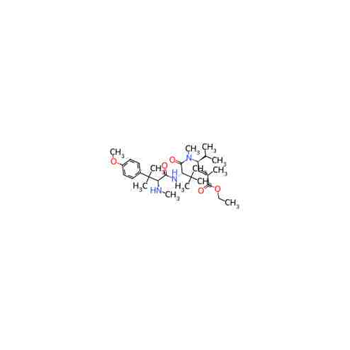 CCOC(=O)/C(C)=C/[C@H](C(C)C)N(C)C(=O)[C@@H](NC(=O)[C@@H](NC)C(C)(C)c1ccc(OC)cc1)C(C)(C)C